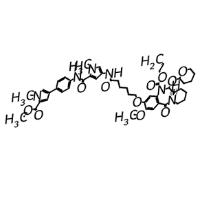 C=CCOC(=O)N1c2cc(OCCCCCC(=O)Nc3cc(C(=O)Nc4ccc(-c5cc(C(=O)OC)n(C)c5)cc4)n(C)c3)c(OC)cc2C(=O)N2CCCC[C@H]2C1OC1CCCCO1